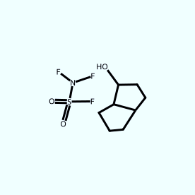 O=S(=O)(F)N(F)F.OC1CCC2CCCC12